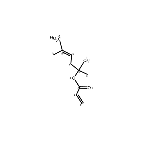 C=CC(=O)OC(C)(O)CC=C(C)C(=O)O